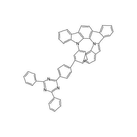 c1ccc(-c2nc(-c3ccccc3)nc(-c3ccc(-c4cccc(-n5c6ccccc6c6ccc7c8ccccc8c8cc9ccccc9n8c7c65)c4)cc3)n2)cc1